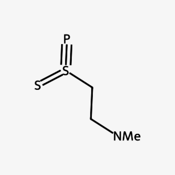 CNCCS(#P)=S